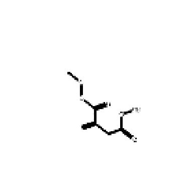 C=C(CC(=O)OO)C(=O)OOC